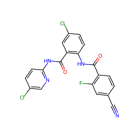 N#Cc1ccc(C(=O)Nc2ccc(Cl)cc2C(=O)Nc2ccc(Cl)cn2)c(F)c1